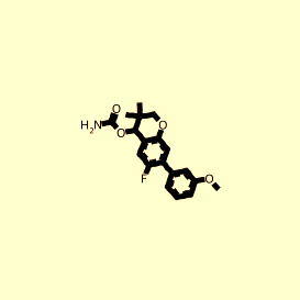 COc1cccc(-c2cc3c(cc2F)C(OC(N)=O)C(C)(C)CO3)c1